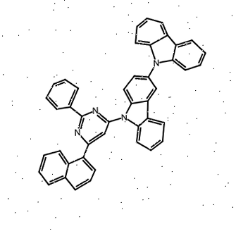 c1ccc(-c2nc(-c3cccc4ccccc34)cc(-n3c4ccccc4c4cc(-n5c6ccccc6c6ccccc65)ccc43)n2)cc1